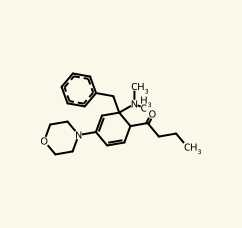 CCCC(=O)C1C=CC(N2CCOCC2)=CC1(Cc1ccccc1)N(C)C